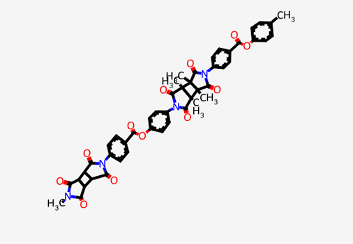 Cc1ccc(OC(=O)c2ccc(N3C(=O)C4(C)C5(C)C(=O)N(c6ccc(OC(=O)c7ccc(N8C(=O)C9C%10C(=O)N(C)C(=O)C%10C9C8=O)cc7)cc6)C(=O)C5(C)C4(C)C3=O)cc2)cc1